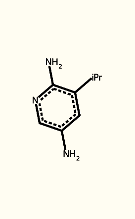 CC(C)c1cc(N)cnc1N